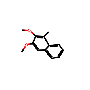 [CH2]c1c(OC)c(OC)cc2ccccc12